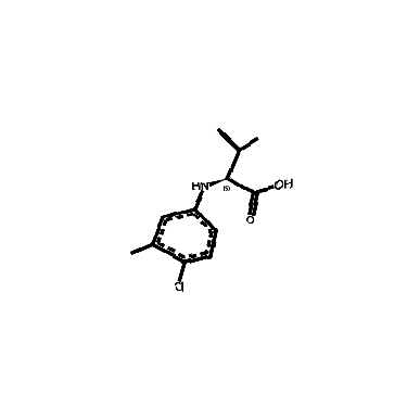 Cc1cc(N[C@H](C(=O)O)C(C)C)ccc1Cl